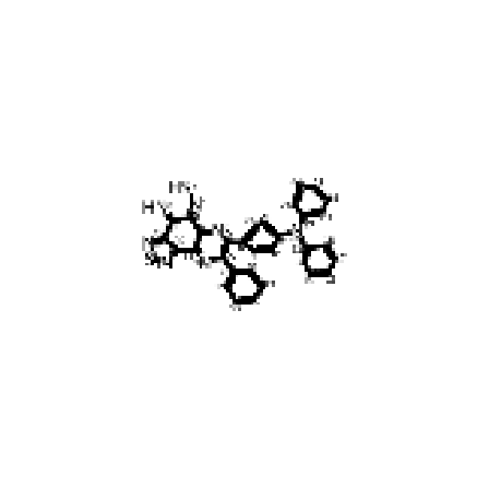 N=C1/C(=N\S)c2nc(-c3ccc(N(c4ccccc4)c4ccccc4)cc3)c(-c3ccccc3)nc2-c2nsnc21